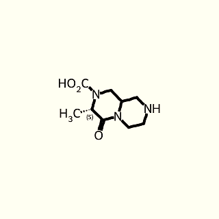 C[C@H]1C(=O)N2CCNCC2CN1C(=O)O